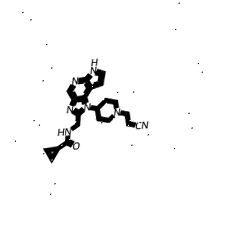 N#CCCN1CCC(n2c(CNC(=O)C3CC3)nc3cnc4[nH]ccc4c32)CC1